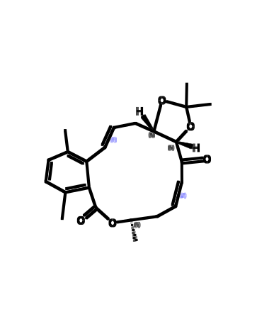 Cc1ccc(C)c2c1/C=C/C[C@@H]1OC(C)(C)O[C@@H]1C(=O)/C=C\C[C@H](C)OC2=O